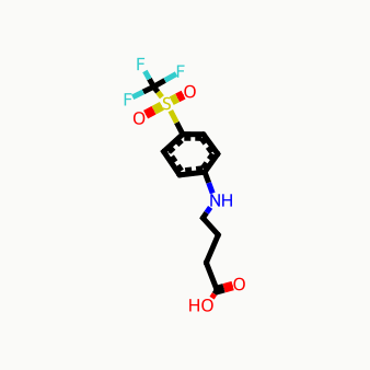 O=C(O)CCCNc1ccc(S(=O)(=O)C(F)(F)F)cc1